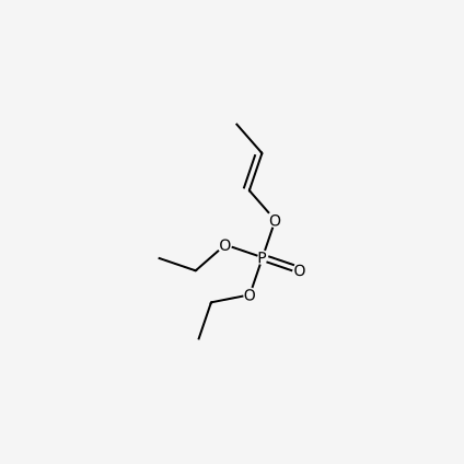 CC=COP(=O)(OCC)OCC